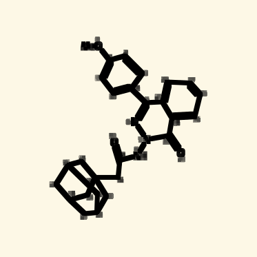 COc1ccc(-c2nn(NC(=O)CC34CC5CC(CC(C5)C3)C4)c(=O)c3ccccc23)cc1